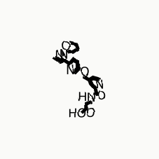 O=C(O)CCNC(=O)c1cc(COc2ccc(-c3ccnn3C3CCCCO3)nc2)ccn1